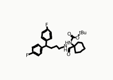 CC(C)(C)OC(=O)NC1(C(=O)NCCCC(c2ccc(F)cc2)c2ccc(F)cc2)CCCCC1